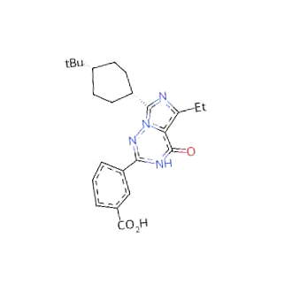 CCc1nc([C@H]2CC[C@@H](C(C)(C)C)CC2)n2nc(-c3cccc(C(=O)O)c3)[nH]c(=O)c12